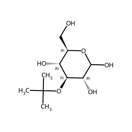 CC(C)(C)O[C@H]1[C@H](O)[C@@H](CO)OC(O)[C@@H]1O